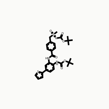 CC(C)(C)OC(=O)N=S(C)(=O)Cc1ccc(C(=O)Nc2cc(-c3cccs3)ccc2NC(=O)OC(C)(C)C)cc1